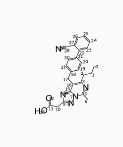 CCCc1nc(C)n2nc(CC(=O)O)nc2c1Cc1ccc(-c2ccccc2C#N)cc1